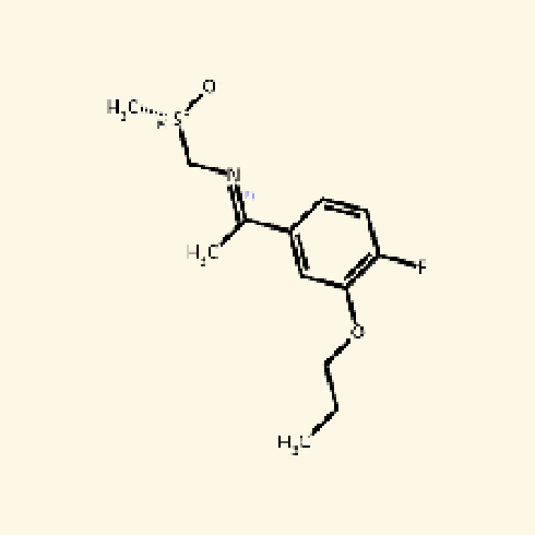 CCCOc1cc(/C(C)=N/C[S@+](C)[O-])ccc1F